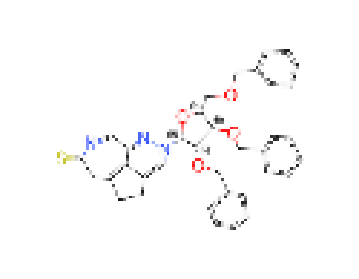 S=C1CC2=C3C(=CN([C@@H]4O[C@H](COCc5ccccc5)[C@@H](OCc5ccccc5)[C@@H]4OCc4ccccc4)N=C3C=N1)CC2